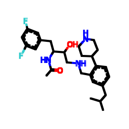 CC(=O)NC(Cc1cc(F)cc(F)c1)C(O)CNCc1cc(CC(C)C)ccc1C1CCNCC1